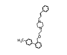 Cc1ccc(-c2ccccc2COCCN2CCN(CC=Cc3ccccc3)CC2)cc1